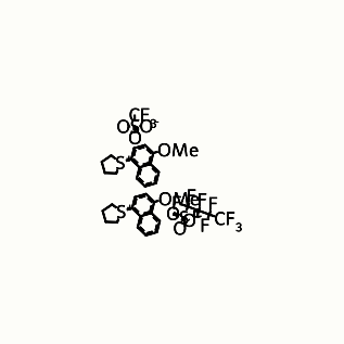 COc1ccc([S+]2CCCC2)c2ccccc12.COc1ccc([S+]2CCCC2)c2ccccc12.O=S(=O)([O-])C(F)(F)C(F)(F)C(F)(F)C(F)(F)F.O=S(=O)([O-])C(F)(F)F